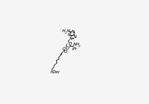 CCCCCCCCCCCCCCCCCC=CC(=O)OCC[C@H](Cn1cnc2cnc(N)nc21)OC(=O)[C@@H](N)C(C)C